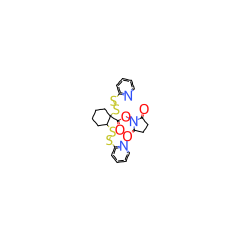 O=C1CCC(=O)N1OC(=O)C1(SSc2ccccn2)CCCCC1SSc1ccccn1